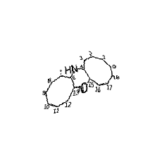 C1CCCC2NC3CCCCCCC3OC2CCC1